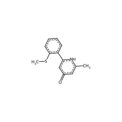 CSc1ccccc1-c1cc(=O)cc(C)[nH]1